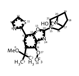 COC(C)(C)c1cc(-c2nccs2)c2oc(N3CC4CCC(C3)N4C(=O)O)nc2c1OC(F)(F)F